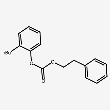 CCCCc1ccccc1OC(=O)OCCc1ccccc1